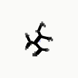 CO/C(N)=C(/C(=N)Cl)[N+](=O)[O-]